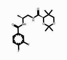 C[C@@H](CNC(=O)[C@@H]1OC(C)(C)OCC1(C)C)NC(=O)c1ccc(F)c(F)c1